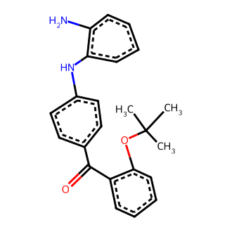 CC(C)(C)Oc1ccccc1C(=O)c1ccc(Nc2ccccc2N)cc1